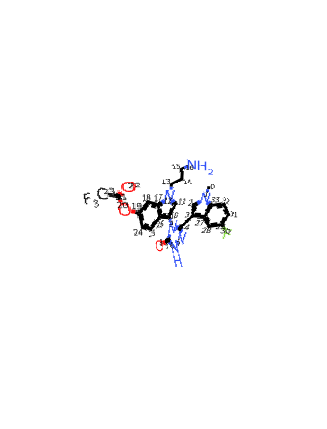 Cn1cc(-c2n[nH]c(=O)n2-c2cn(CCCN)c3cc(OC(=O)C(F)(F)F)ccc23)c2cc(F)ccc21